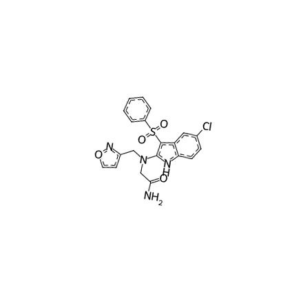 NC(=O)CN(Cc1ccon1)c1[nH]c2ccc(Cl)cc2c1S(=O)(=O)c1ccccc1